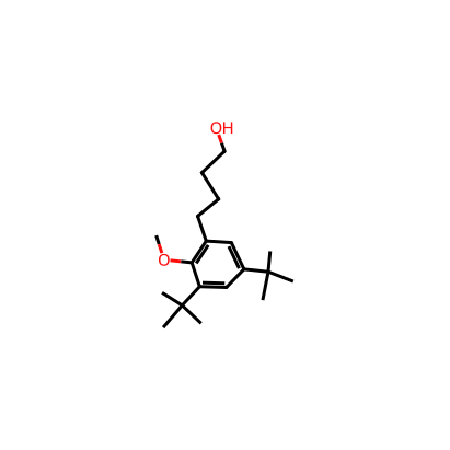 COc1c(CCCCO)cc(C(C)(C)C)cc1C(C)(C)C